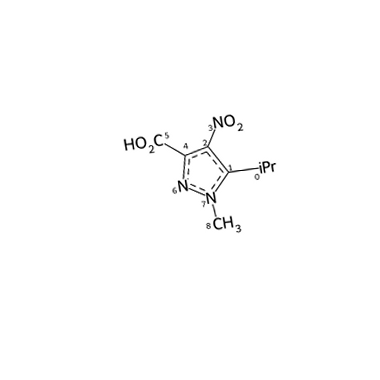 CC(C)c1c([N+](=O)[O-])c(C(=O)O)nn1C